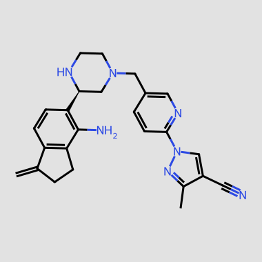 C=C1CCc2c1ccc([C@@H]1CN(Cc3ccc(-n4cc(C#N)c(C)n4)nc3)CCN1)c2N